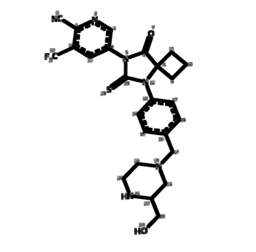 N#Cc1ncc(N2C(=O)C3(CCC3)N(c3ccc(CN4CCNC(CO)C4)cc3)C2=S)cc1C(F)(F)F